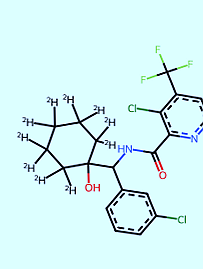 [2H]C1([2H])C([2H])([2H])C([2H])([2H])C(O)(C(NC(=O)c2nccc(C(F)(F)F)c2Cl)c2cccc(Cl)c2)C([2H])([2H])C1([2H])[2H]